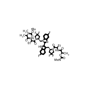 CCC(NC(=O)C(C)OC(=O)NC)C(=O)N1CC(F)(F)C[C@H]1Cc1c(-c2nc3cc(F)ccc3n2C[C@@H]2CC(F)(F)CN2C(=O)C(CC)NC(=O)C(C)N(C)C(=O)OC(C)(C)C)[nH]c2cc(F)ccc12